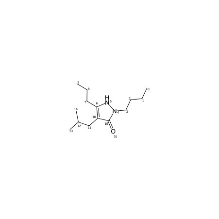 CCCCn1[nH]c(CCC)c(CC(C)C)c1=O